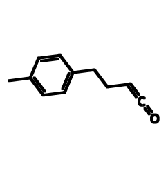 Cc1ccc(CCC=C=O)cc1